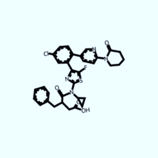 O=C(O)CC(Cc1ccccc1)C(=O)N(c1nc(-c2cc(Cl)ccc2-c2ccc(N3CCCCC3=O)nc2)c(F)s1)C1CC1